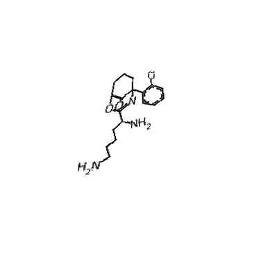 NCCCC[C@H](N)C1=NC2(c3ccccc3Cl)CCCC(O1)C2=O